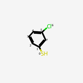 Sc1c[c]cc(Cl)c1